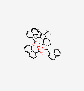 CC1=C(C)C(C)C2=C1[CH]([Ti]([O]C(=O)c1cccc3ccccc13)([O]C(=O)c1cccc3ccccc13)[O]C(=O)c1cccc3ccccc13)CCC2